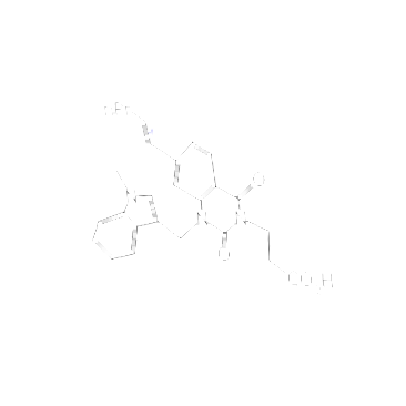 CCC/C=C/c1ccc2c(=O)n(CCC(=O)O)c(=O)n(Cc3cn(C)c4ccccc34)c2c1